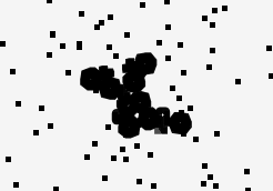 CC1(C)c2ccccc2-c2ccc(N(c3ccc4c(c3)C(C)(C)c3ccccc3-4)c3cc4oc5cccc(-c6ccc7oc(-c8ccccc8)nc7c6)c5c4c4ccccc34)cc21